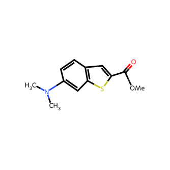 COC(=O)c1cc2ccc(N(C)C)cc2s1